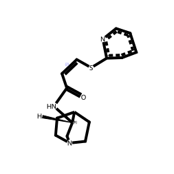 O=C(/C=C\Sc1ccccn1)N[C@H]1CN2CCC1CC2